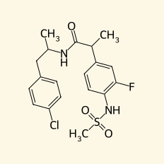 CC(Cc1ccc(Cl)cc1)NC(=O)C(C)c1ccc(NS(C)(=O)=O)c(F)c1